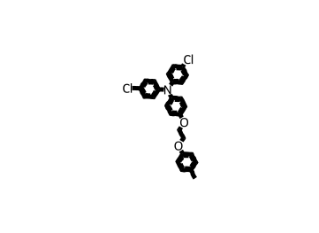 Cc1ccc(OCCOc2ccc(N(c3ccc(Cl)cc3)c3ccc(Cl)cc3)cc2)cc1